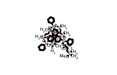 C=C[Si](C)(C)O[Si](O[Si](C)(C)CC[Si](C)(C)O[Si](O[Si](C)(C)CC[Si](C)(C)O[Si](O[Si](C)(C)CC[Si](C)(C)OC)(c1ccccc1)c1ccccc1)(c1ccccc1)c1ccccc1)(c1ccccc1)c1ccccc1